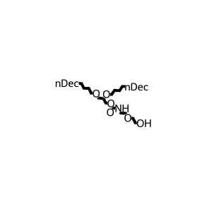 CCCCCCCCCCCCCCOCC(COC(=O)NCCOCCO)OCCCCCCCCCCCCCC